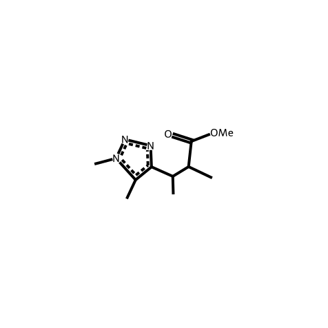 COC(=O)C(C)C(C)c1nnn(C)c1C